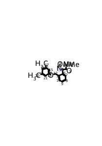 CNC(=O)/C(=N\OC)c1ccccc1COc1cc(C)cc(C)c1